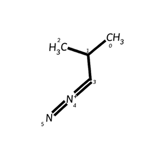 CC(C)C=[N+]=[N-]